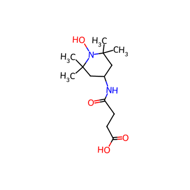 CC1(C)CC(NC(=O)CCC(=O)O)CC(C)(C)N1O